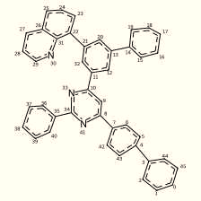 c1ccc(-c2ccc(-c3cc(-c4cc(-c5ccccc5)cc(-c5cccc6cccnc56)c4)nc(-c4ccccc4)n3)cc2)cc1